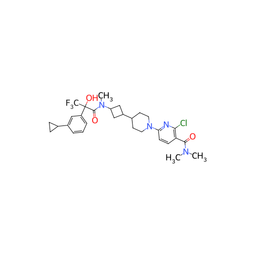 CN(C)C(=O)c1ccc(N2CCC(C3CC(N(C)C(=O)C(O)(c4cccc(C5CC5)c4)C(F)(F)F)C3)CC2)nc1Cl